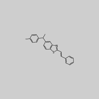 Cc1ccc(C(C)c2ccc3sc(C=Cc4ccccc4)nc3c2)cc1